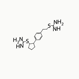 N=C(N)SCCc1ccc(C2CCCC2SC(=N)N)cc1